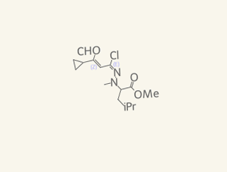 COC(=O)C(CC(C)C)N(C)/N=C(Cl)\C=C(/C=O)C1CC1